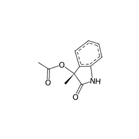 CC(=O)O[C@@]1(C)C(=O)Nc2ccccc21